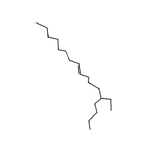 [CH2]CCCCCC/C=C/CCCC(CC)CCC[CH2]